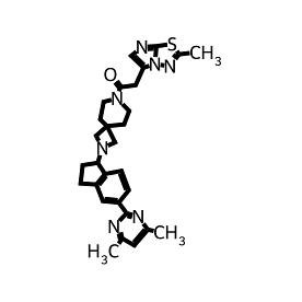 Cc1cc(C)nc(-c2ccc3c(c2)CCC3N2CC3(CCN(C(=O)Cc4cnc5sc(C)nn45)CC3)C2)n1